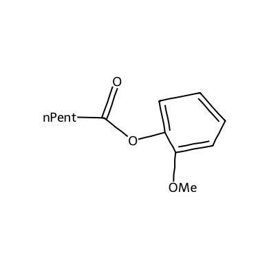 CCCCCC(=O)Oc1ccccc1OC